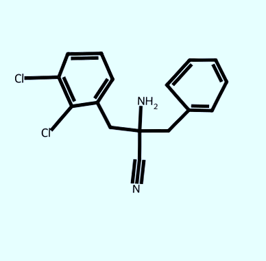 N#CC(N)(Cc1ccccc1)Cc1cccc(Cl)c1Cl